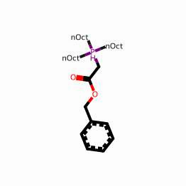 CCCCCCCC[PH](CCCCCCCC)(CCCCCCCC)CC(=O)OCc1ccccc1